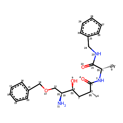 CC(C)[C@H](NC(=O)[C@H](C)C[C@H](O)[C@@H](N)COCc1ccccc1)C(=O)NCc1ccccc1